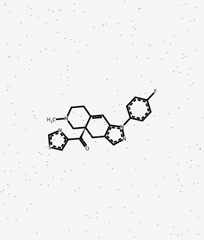 CN1CCC2=Cc3c(cnn3-c3ccc(F)cc3)C[C@]2(C(=O)c2cscn2)C1